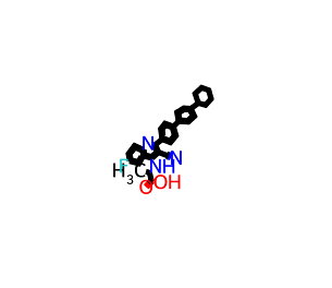 CC(Nc1c(C#N)c(-c2ccc(-c3ccc(C4CCCCC4)cc3)cc2)nc2ccc(F)cc12)C(=O)O